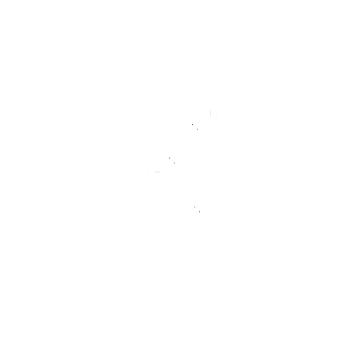 Cc1ccc(C(=O)N2CCN(C)CC2)cn1